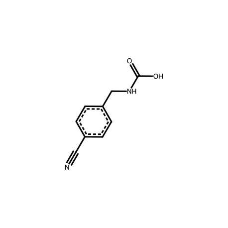 N#Cc1ccc(CNC(=O)O)cc1